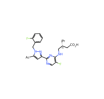 CC(=O)c1cc(-c2ncc(F)c(NC[C@@H](CC(=O)O)C(C)C)n2)nn1Cc1ccccc1F